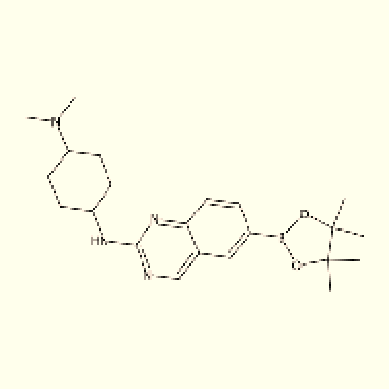 CN(C)C1CCC(Nc2ncc3cc(B4OC(C)(C)C(C)(C)O4)ccc3n2)CC1